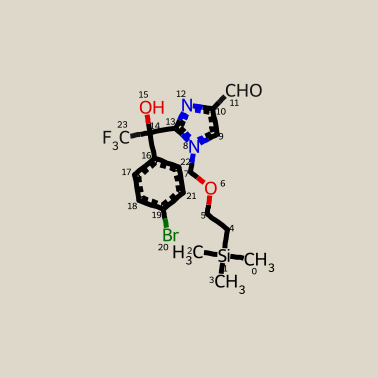 C[Si](C)(C)CCOCn1cc(C=O)nc1C(O)(c1ccc(Br)cc1)C(F)(F)F